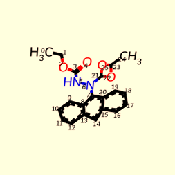 CCOC(=O)NN(c1c2ccccc2cc2ccccc12)C1OC(C)O1